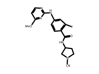 COc1ccnc(Nc2ccc(C(=O)NC3CCN(C#N)C3)c(F)c2)n1